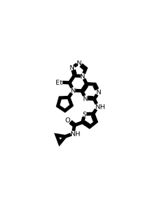 CCC1c2nncn2-c2cnc(Nc3ccc(C(=O)NC4CC4)s3)nc2N1C1CCCC1